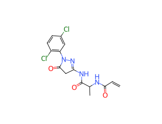 C=CC(=O)NC(C)C(=O)NC1=NN(c2cc(Cl)ccc2Cl)C(=O)C1